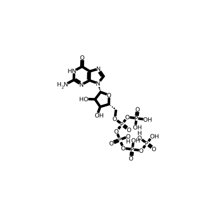 Nc1nc2c(ncn2[C@@H]2O[C@H](COP(=O)(OP(=O)(O)O)OP(=O)(O)OP(=O)(O)OP(=O)(O)O)C(O)C2O)c(=O)[nH]1